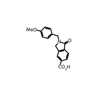 COc1ccc(CN2Cc3cc(C(=O)O)ccc3C2=O)cc1